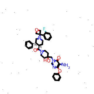 Nc1c(Oc2ccccc2)ncn(CC2(O)CCN(C(=O)[C@@H]3CCN(C4(c5ccccc5F)COC4)C[C@H]3c3ccccc3)CC2)c1=O